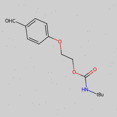 CC(C)(C)NC(=O)OCCOc1ccc(C=O)cc1